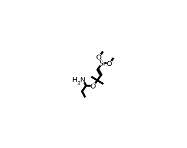 CCC(N)OC(C)(C)C=C[Si](OC)OC